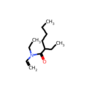 C=CN(CC)C(=O)C(CC)CCCC